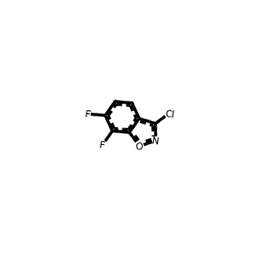 Fc1ccc2c(Cl)noc2c1F